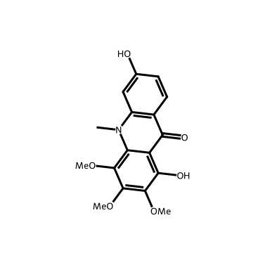 COc1c(OC)c(OC)c2c(c1O)c(=O)c1ccc(O)cc1n2C